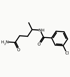 CC(CCC(N)=O)NC(=O)c1cccc(Cl)c1